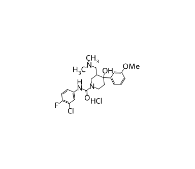 COc1cccc(C2(O)CCN(C(=O)Nc3ccc(F)c(Cl)c3)CC2CN(C)C)c1.Cl